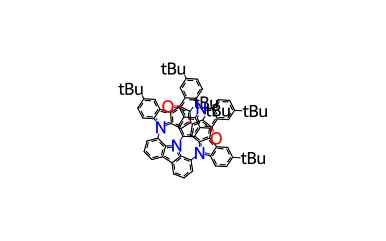 CC(C)(C)c1ccc2c(c1)c(=O)c1cc(-n3c4c(-n5c6ccc(C(C)(C)C)cc6c6cc(C(C)(C)C)ccc65)cccc4c4cccc(-n5c6ccc(C(C)(C)C)cc6c6cc(C(C)(C)C)ccc65)c43)cc3c(=O)c4cc(C(C)(C)C)ccc4n2c13